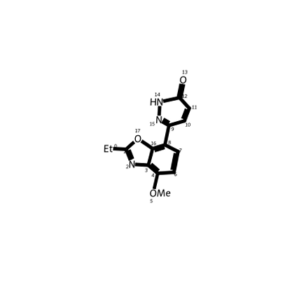 CCc1nc2c(OC)ccc(-c3ccc(=O)[nH]n3)c2o1